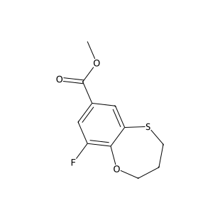 COC(=O)c1cc(F)c2c(c1)SCCCO2